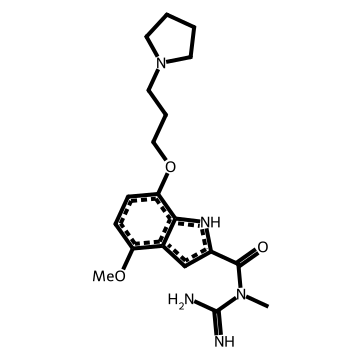 COc1ccc(OCCCN2CCCC2)c2[nH]c(C(=O)N(C)C(=N)N)cc12